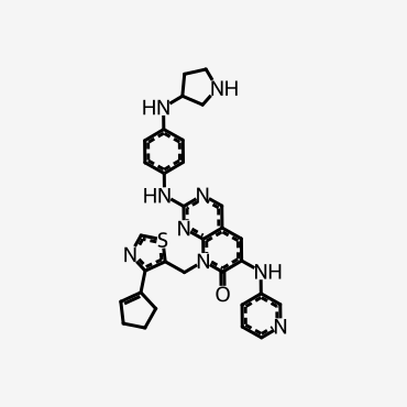 O=c1c(Nc2cccnc2)cc2cnc(Nc3ccc(NC4CCNC4)cc3)nc2n1Cc1scnc1C1=CCCC1